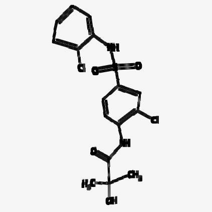 CC(C)(O)C(=O)Nc1ccc(S(=O)(=O)Nc2ccccc2Cl)cc1Cl